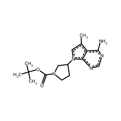 Cc1cn(C2CCN(C(=O)OC(C)(C)C)C2)c2ncnc(N)c12